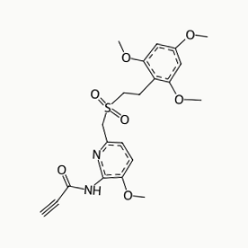 C#CC(=O)Nc1nc(CS(=O)(=O)CCc2c(OC)cc(OC)cc2OC)ccc1OC